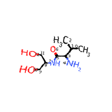 CC(C)C(N)C(=O)NC(CO)CO